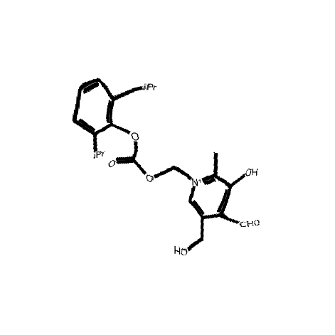 Cc1c(O)c(C=O)c(CO)c[n+]1COC(=O)Oc1c(C(C)C)cccc1C(C)C